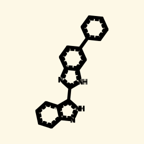 c1ccc(-c2ccc3nc(-c4[nH]nc5ccccc45)[nH]c3c2)cc1